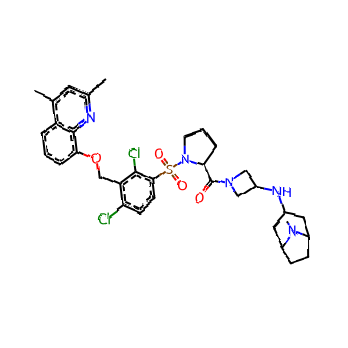 Cc1cc(C)c2cccc(OCc3c(Cl)ccc(S(=O)(=O)N4CCC[C@H]4C(=O)N4CC(NC5CC6CCC(C5)N6C)C4)c3Cl)c2n1